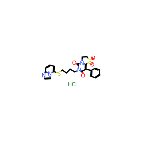 Cl.O=c1c(-c2ccccc2)c2n(c(=O)n1CCCCSc1cccc3nccn13)CCS2(=O)=O